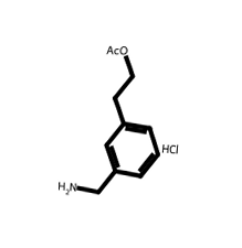 CC(=O)OCCc1cccc(CN)c1.Cl